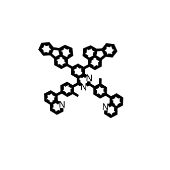 Cc1cc(-c2cccc3cccnc23)ccc1-c1nc(-c2ccc(-c3cccc4cccnc34)cc2C)c2cc(-c3ccc4c5c(cccc35)-c3ccccc3-4)cc(-c3ccc4c5c(cccc35)-c3ccccc3-4)c2n1